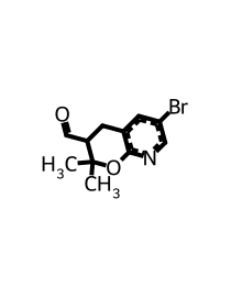 CC1(C)Oc2ncc(Br)cc2CC1C=O